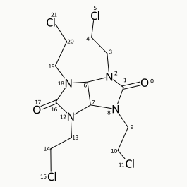 O=C1N(CCCl)C2C(N1CCCl)N(CCCl)C(=O)N2CCCl